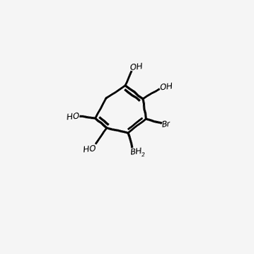 BC1=C(Br)C(O)=C(O)CC(O)=C1O